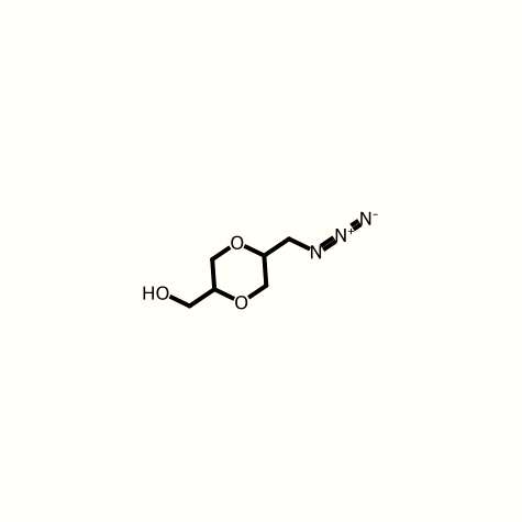 [N-]=[N+]=NCC1COC(CO)CO1